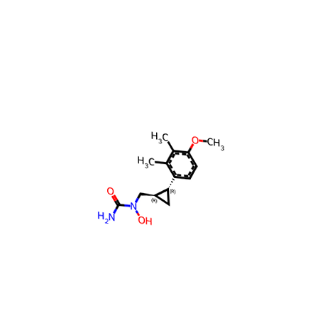 COc1ccc([C@@H]2C[C@H]2CN(O)C(N)=O)c(C)c1C